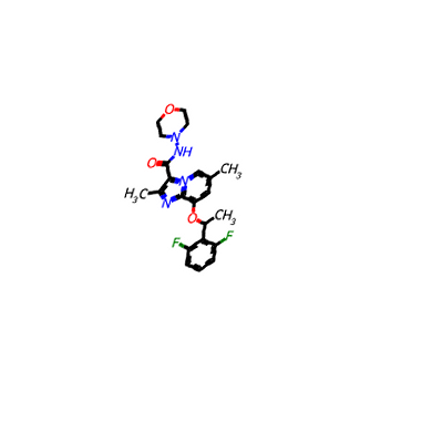 Cc1cc(OC(C)c2c(F)cccc2F)c2nc(C)c(C(=O)NN3CCOCC3)n2c1